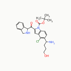 CC(C)(C)OC(=O)n1c(C(=O)C2NCc3ccccc32)cc2c(Cl)c(C(N)CCCO)ccc21